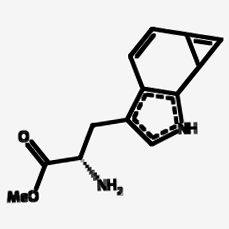 COC(=O)[C@@H](N)Cc1c[nH]c2c1C=CC1=CC12